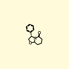 O=C1CCCC2OC[C@@H](c3ccccc3)N12